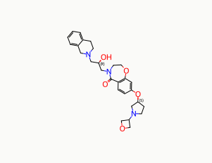 O=C1c2ccc(O[C@H]3CCN(C4COC4)C3)cc2OCCN1C[C@H](O)CN1CCc2ccccc2C1